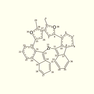 Cc1ccc(-c2cccc3c2[C]([Zr][C]2=C4C=CC=CC4c4cccc(-c5ccc(C)o5)c42)=C2C=CC=CC23)o1